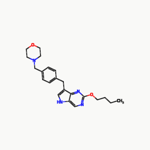 CCCCOc1ncc2[nH]cc(Cc3ccc(CN4CCOCC4)cc3)c2n1